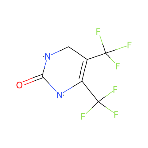 O=C1[N]CC(C(F)(F)F)=C(C(F)(F)F)[N]1